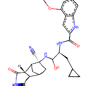 COc1cccc2[nH]c(C(=O)N[C@@H](CC3CC3)C(O)N[C@@]3(C#N)CC4CC3[C@H]3C(=O)NCC43)cc12